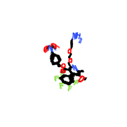 COC1=C(c2c(F)c(F)c(F)c(F)c2F)C(C(=O)OCc2ccc([N+](=O)[O-])cc2)C(COCCOCCN)N=C1C